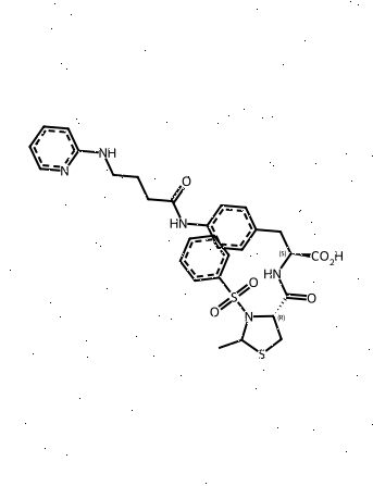 CC1SC[C@@H](C(=O)N[C@@H](Cc2ccc(NC(=O)CCCNc3ccccn3)cc2)C(=O)O)N1S(=O)(=O)c1ccccc1